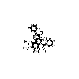 Cc1c(C)c(C)c2c(c3nn(-c4ccncc4)c(=O)c-3c(C)n2C(=O)N2CCCCC2)c1C